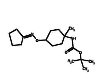 CC1(NC(=O)OC(C)(C)C)CCC(ON=C2CCCC2)CC1